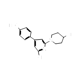 Cc1ccc(-c2cc(Cl)nc(N3CCC(O)CC3)c2)cc1